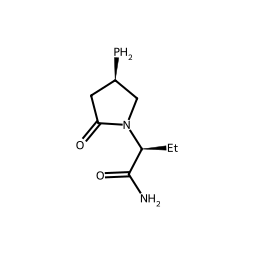 CC[C@@H](C(N)=O)N1C[C@H](P)CC1=O